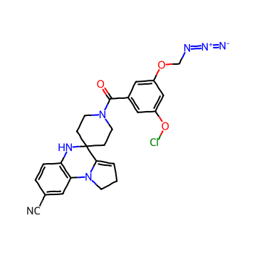 N#Cc1ccc2c(c1)N1CCC=C1C1(CCN(C(=O)c3cc(OCl)cc(OCN=[N+]=[N-])c3)CC1)N2